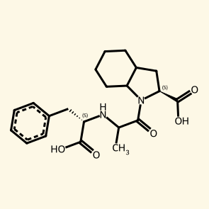 CC(N[C@@H](Cc1ccccc1)C(=O)O)C(=O)N1C2CCCCC2C[C@H]1C(=O)O